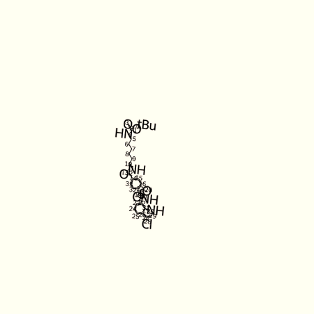 CC(C)(C)OC(=O)NCCCCCCNC(=O)c1ccc(S(=O)(=O)Nc2cccc3c(Cl)c[nH]c23)cc1